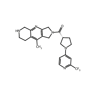 Cc1c2c(nc3c1CN(C(=O)[C@@H]1CCN(c4ccnc(C(F)(F)F)c4)C1)C3)CNCC2